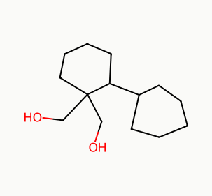 OCC1(CO)CCCCC1C1CCCCC1